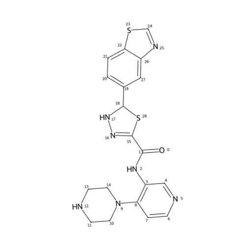 O=C(Nc1cnccc1N1CCNCC1)C1=NNC(c2ccc3scnc3c2)S1